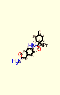 CC1CCC(C(=O)Nc2ccc(CC(N)=O)cc2)(C(C)C)CC1